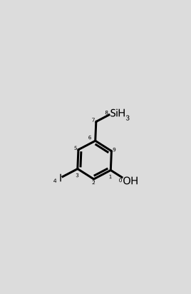 Oc1cc(I)cc(C[SiH3])c1